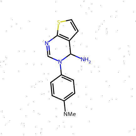 CNc1ccc(N2C=Nc3sccc3C2N)cc1